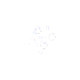 C[C@@H]1CCNc2ccc(-c3cccc(C#N)c3)nc2N1C(=O)Nc1ccncn1